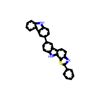 c1ccc(-c2nc3ccc4c5cc(-c6ccc7[nH]c8ccccc8c7c6)ccc5[nH]c4c3s2)cc1